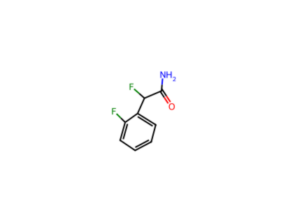 NC(=O)C(F)c1ccccc1F